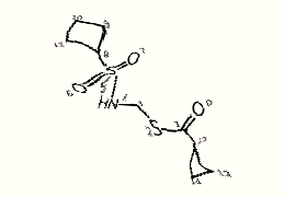 O=C(SCNS(=O)(=O)C1CCC1)C1CC1